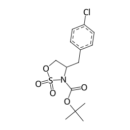 CC(C)(C)OC(=O)N1C(Cc2ccc(Cl)cc2)COS1(=O)=O